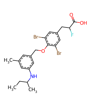 CCC(C)Nc1cc(C)cc(COc2c(Br)cc(CC(F)C(=O)O)cc2Br)c1